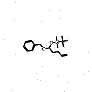 C=CCCC(OCc1ccccc1)O[Si](C)(C)C(C)(C)C